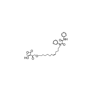 O=C(COCCCCCCC/C=C\CCCCN(C(=O)C(=O)Nc1ccccc1)c1ccccc1)C1=C(O)COC1=O